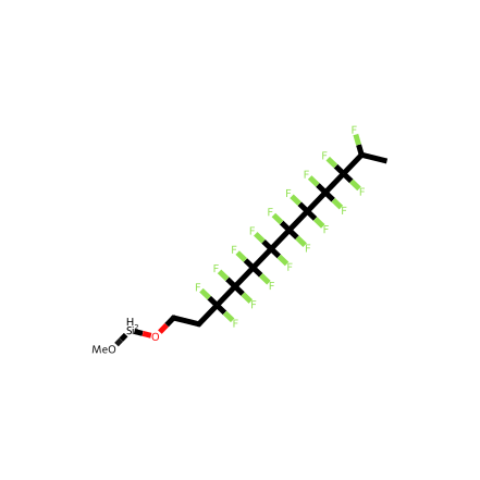 CO[SiH2]OCCC(F)(F)C(F)(F)C(F)(F)C(F)(F)C(F)(F)C(F)(F)C(F)(F)C(F)(F)C(C)F